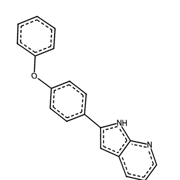 c1ccc(Oc2ccc(-c3cc4cccnc4[nH]3)cc2)cc1